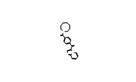 O=C(c1ccc(C(=O)N2CCCCCCC2)cc1)c1cnc2ccccn12